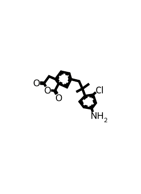 CC(C)(Cc1ccc2c(c1)C(=O)OC(=O)C2)c1ccc(N)cc1Cl